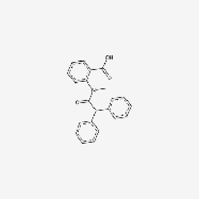 CN(C(=O)C(c1ccccc1)c1ccccc1)c1ccccc1C(=O)O